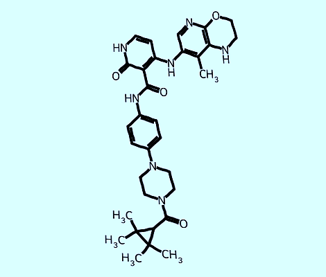 Cc1c(Nc2cc[nH]c(=O)c2C(=O)Nc2ccc(N3CCN(C(=O)C4C(C)(C)C4(C)C)CC3)cc2)cnc2c1NCCO2